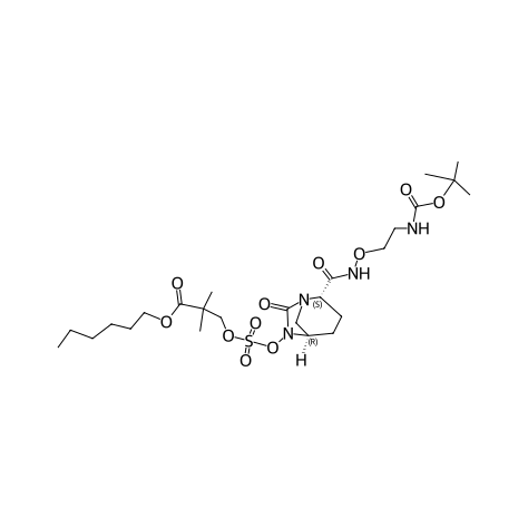 CCCCCCOC(=O)C(C)(C)COS(=O)(=O)ON1C(=O)N2C[C@H]1CC[C@H]2C(=O)NOCCNC(=O)OC(C)(C)C